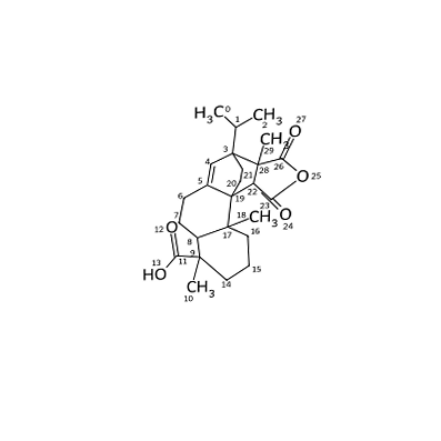 CC(C)C12C=C3CCC4C(C)(C(=O)O)CCCC4(C)C3(CC1)C1C(=O)OC(=O)C12C